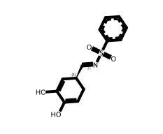 O=S(=O)(/N=C/[C@@H]1C=C(O)C(O)=CC1)c1ccccc1